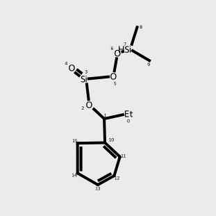 CCC(O[Si](=O)OO[SiH](C)C)c1ccccc1